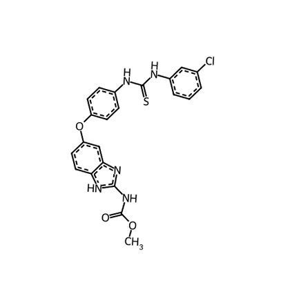 COC(=O)Nc1nc2cc(Oc3ccc(NC(=S)Nc4cccc(Cl)c4)cc3)ccc2[nH]1